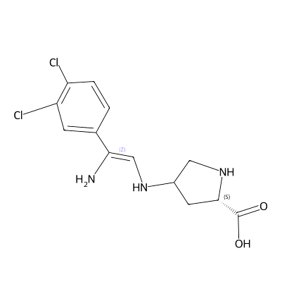 N/C(=C\NC1CN[C@H](C(=O)O)C1)c1ccc(Cl)c(Cl)c1